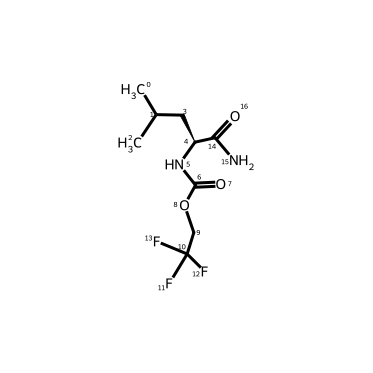 CC(C)C[C@H](NC(=O)OCC(F)(F)F)C(N)=O